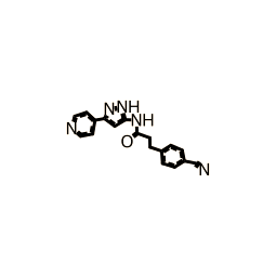 N#Cc1ccc(CCC(=O)Nc2cc(-c3ccncc3)n[nH]2)cc1